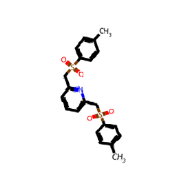 Cc1ccc(S(=O)(=O)Cc2cccc(CS(=O)(=O)c3ccc(C)cc3)n2)cc1